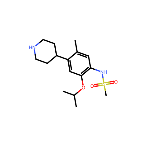 Cc1cc(NS(C)(=O)=O)c(OC(C)C)cc1C1CCNCC1